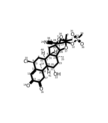 CC1(C)O[C@@H]2C[C@H]3[C@@H]4C[C@H](Cl)C5=CC(=O)C(=O)C[C@]5(C)[C@H]4[C@@H](O)C[C@]3(C)[C@]2(C2(C#N)OC2OS(C)(=O)=O)O1